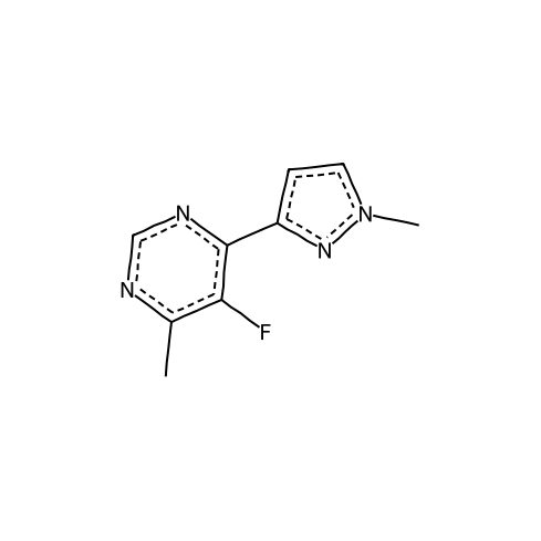 Cc1ncnc(-c2ccn(C)n2)c1F